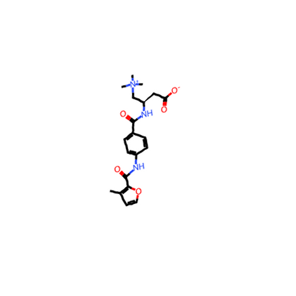 Cc1ccoc1C(=O)Nc1ccc(C(=O)N[C@H](CC(=O)[O-])C[N+](C)(C)C)cc1